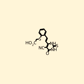 N#Cc1c(/C=C/c2ccccc2SCC(=O)O)[nH]c(=S)[nH]c1=O